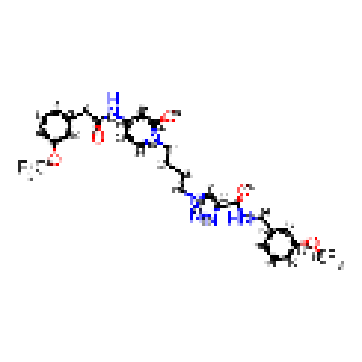 O=C(Cc1cccc(OC(F)(F)F)c1)Nc1ccn(CCCCn2cc(C(=O)NCc3cccc(OC(F)(F)F)c3)nn2)c(=O)c1